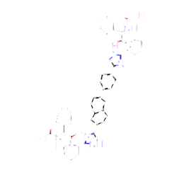 COC(=O)NC(C(=O)N1CCCC[C@H]1c1nc(-c2ccc3cc(-c4ccc(-c5c[nH]c([C@@H]6CCCCN6C(=O)C(NC(=O)O)C6CCOCC6)n5)cc4)ccc3c2)c[nH]1)C1CCOCC1